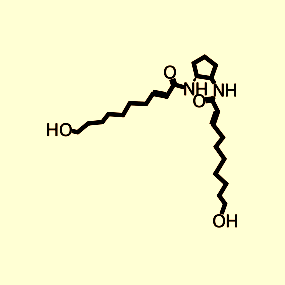 O=C(/C=C/CCCCCCCO)NC1CCC[C@H]1NC(=O)/C=C/CCCCCCCO